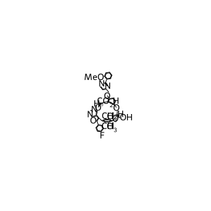 COc1ccccc1-c1nccc(COc2ccc3cc2C[C@H](C(=O)O)Oc2ncnc4oc(-c5ccc(F)cc5)c(c24)-c2c(C)c(Cl)c(c(Cl)c2C)O[C@H](CO)CO3)n1